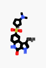 CN(C)C1CC[C@@H](S(=O)(=O)c2ccc3[nH]c(=O)c4[nH]cc(C(=O)O)c4c3c2)C1